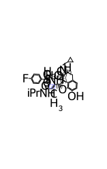 C/C(C(=O)NC(C)C)=C(/NS(=O)(=O)c1ccc(F)cc1)[C@@H]1Oc2c(O)ccc3c2[C@@]12CCN(CC1CC1)[C@H](C3)[C@@]2(C)O